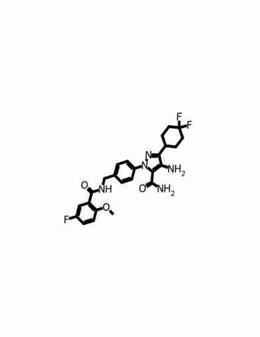 COc1ccc(F)cc1C(=O)NCc1ccc(-n2nc(C3CCC(F)(F)CC3)c(N)c2C(N)=O)cc1